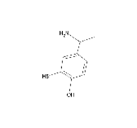 CC(N)c1ccc(O)c(S)c1